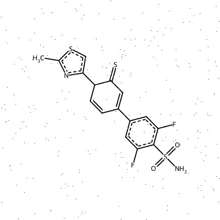 Cc1nc(C2C=CC(c3cc(F)c(S(N)(=O)=O)c(F)c3)=CC2=S)cs1